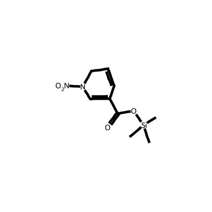 C[Si](C)(C)OC(=O)C1=CN([N+](=O)[O-])CC=C1